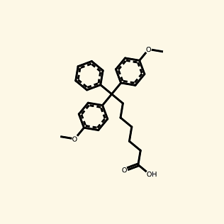 COc1ccc(C(CCCCCC(=O)O)(c2ccccc2)c2ccc(OC)cc2)cc1